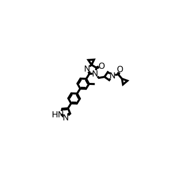 Cc1cc(-c2ccc(-c3cn[nH]c3)cc2)ccc1C1=NC2(CC2)C(=O)N1CC1CN(C(=O)C2CC2)C1